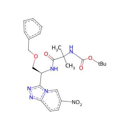 CC(C)(C)OC(=O)NC(C)(C)C(=O)N[C@H](COCc1ccccc1)c1nnc2ccc([N+](=O)[O-])cn12